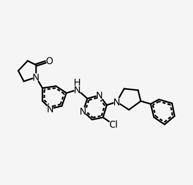 O=C1CCCN1c1cncc(Nc2ncc(Cl)c(N3CCC(c4ccccc4)C3)n2)c1